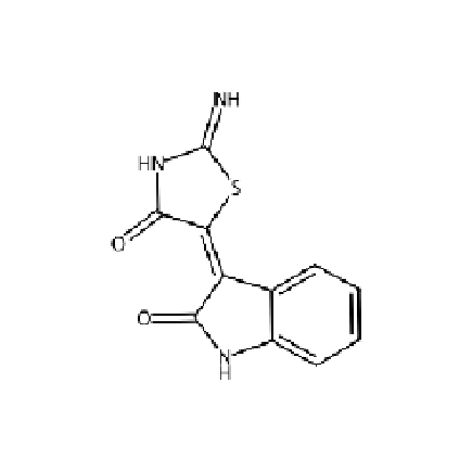 N=C1NC(=O)C(=C2C(=O)Nc3ccccc32)S1